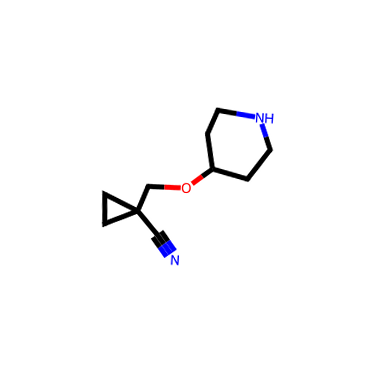 N#CC1(COC2CCNCC2)CC1